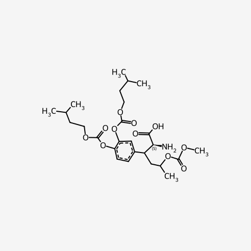 COC(=O)OC(C)CC(c1ccc(OC(=O)OCCC(C)C)c(OC(=O)OCCC(C)C)c1)[C@H](N)C(=O)O